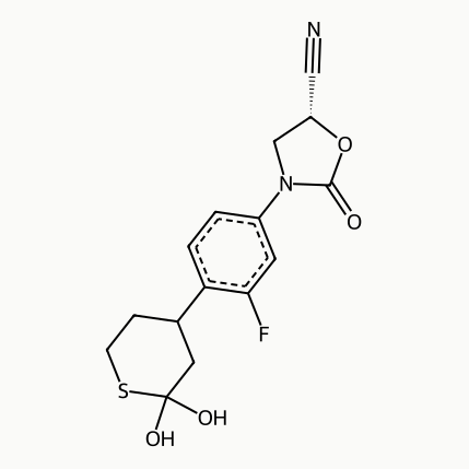 N#C[C@H]1CN(c2ccc(C3CCSC(O)(O)C3)c(F)c2)C(=O)O1